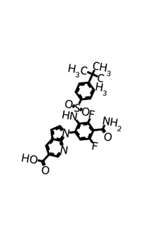 CC(C)(C)c1ccc(S(=O)(=O)Nc2c(-n3ccc4cc(C(=O)O)cnc43)cc(F)c(C(N)=O)c2F)cc1